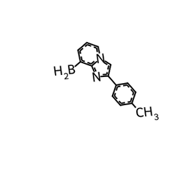 Bc1cccn2cc(-c3ccc(C)cc3)nc12